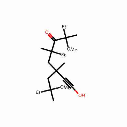 CCC(C)(CC(C)(C#CO)CC(C)(CC)C(=O)C(C)(CC)OC)OC